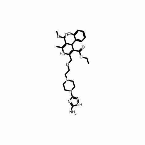 CCOC(=O)C1=C(COCCN2CCN(c3n[nH]c(N)n3)CC2)NC(C)=C(C(=O)OC)C1c1ccccc1Cl